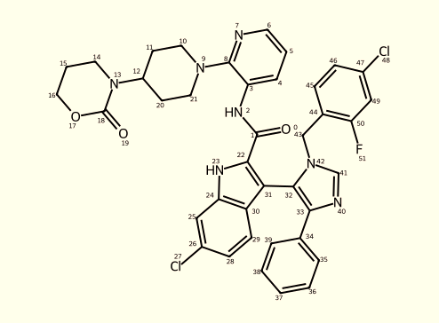 O=C(Nc1cccnc1N1CCC(N2CCCOC2=O)CC1)c1[nH]c2cc(Cl)ccc2c1-c1c(-c2ccccc2)ncn1Cc1ccc(Cl)cc1F